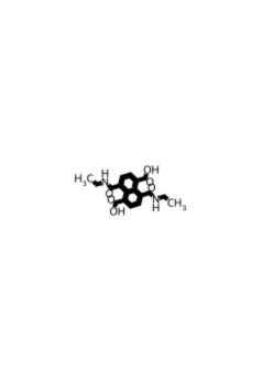 CCNC(=O)c1ccc(C(=O)O)c2c(C(=O)NCC)ccc(C(=O)O)c12